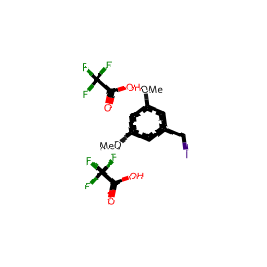 COc1cc(CI)cc(OC)c1.O=C(O)C(F)(F)F.O=C(O)C(F)(F)F